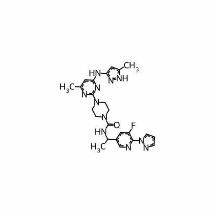 Cc1cc(Nc2cc(C)[nH]n2)nc(N2CCN(C(=O)NC(C)c3cnc(-n4cccn4)c(F)c3)CC2)n1